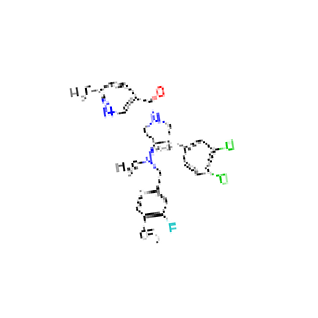 Cc1ccc(C(=O)N2C[C@H](c3ccc(Cl)c(Cl)c3)[C@@H](N(C)Cc3ccc(C(F)(F)F)c(F)c3)C2)cn1